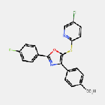 O=C(O)c1ccc(-c2nc(-c3ccc(F)cc3)oc2Sc2ccc(Cl)cn2)cc1